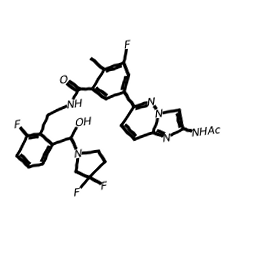 CC(=O)Nc1cn2nc(-c3cc(F)c(C)c(C(=O)NCc4c(F)cccc4C(O)N4CCC(F)(F)C4)c3)ccc2n1